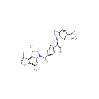 Cc1csc2c(O)cc3c(c12)[C@H](CCl)CN3C(=O)c1ccc2c(-n3ccc4ccc(C(N)=O)cc43)c[nH]c2c1